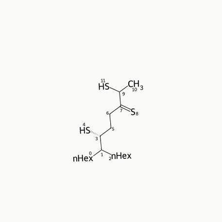 CCCCCCC(CCCCCC)[C@H](S)CCC(=S)C(C)S